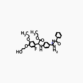 CCOC(=O)C(Nc1ccc(/C(N)=N/C(=O)c2ccccc2)cc1)c1cc(OCC)c(OCCO)cc1F